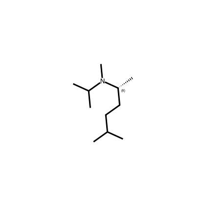 CC(C)CC[C@@H](C)N(C)C(C)C